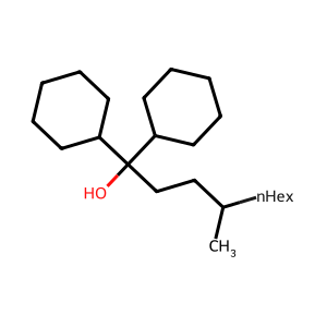 CCCCCCC(C)CCC(O)(C1CCCCC1)C1CCCCC1